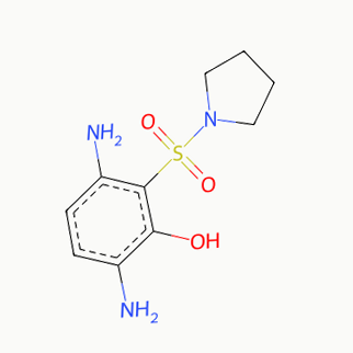 Nc1ccc(N)c(S(=O)(=O)N2CCCC2)c1O